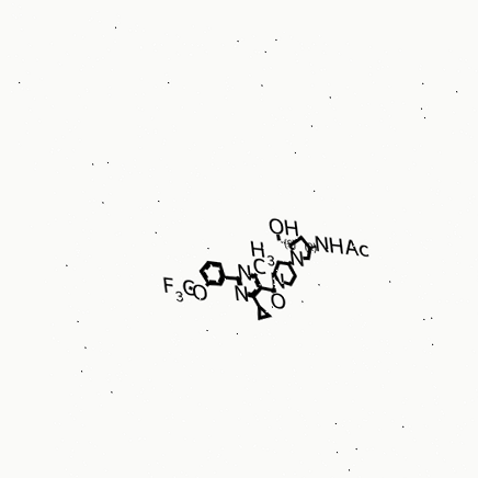 CC(=O)N[C@@H]1C[C@@H](CO)N(C2CCN(C(=O)c3c(C)nc(-c4cccc(OC(F)(F)F)c4)nc3C3CC3)CC2)C1